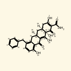 NC(=O)C1=C(O)C[C@@H]2C[C@@H]3Cc4c(Cc5ccccc5)ccc(O)c4C(=O)C3=C(O)[C@]2(O)C1=O